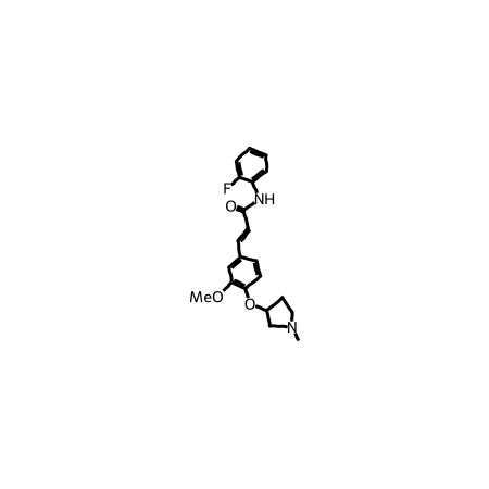 COc1cc(/C=C/C(=O)Nc2ccccc2F)ccc1OC1CCN(C)C1